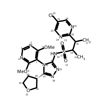 COc1ncnc(OC)c1-n1c(NS(=O)(=O)C(C)C(C)c2ncc(Cl)cn2)nnc1[C@H]1CCOC1